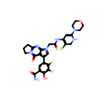 NC(=O)c1cc(-c2cn(CC(=O)NC3=C(Cl)CNC(N4CCOCC4)=C3)c3nc4n(c(=O)c23)CCC4)c(F)c(F)c1O